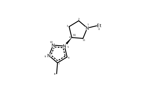 CCN1CC[C@H](n2cc(C)nn2)C1